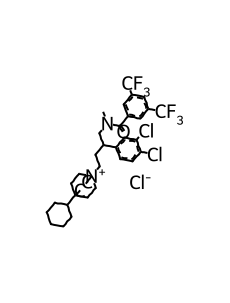 CN(CC(CC[N+]12CCC(C3CCCCC3)(CC1)CC2)c1ccc(Cl)c(Cl)c1)C(=O)c1cc(C(F)(F)F)cc(C(F)(F)F)c1.[Cl-]